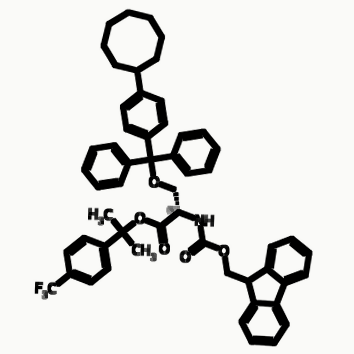 CC(C)(OC(=O)[C@H](COC(c1ccccc1)(c1ccccc1)c1ccc(C2CCCCCCC2)cc1)NC(=O)OCC1c2ccccc2-c2ccccc21)c1ccc(C(F)(F)F)cc1